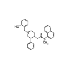 C[C@@H](NCC1CCN(Cc2ccccc2O)CC1c1ccccc1)c1cccc2ccccc12